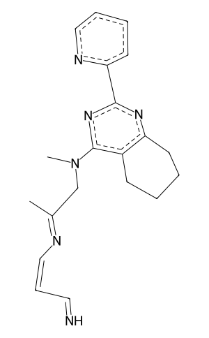 C/C(CN(C)c1nc(-c2ccccn2)nc2c1CCCC2)=N\C=C/C=N